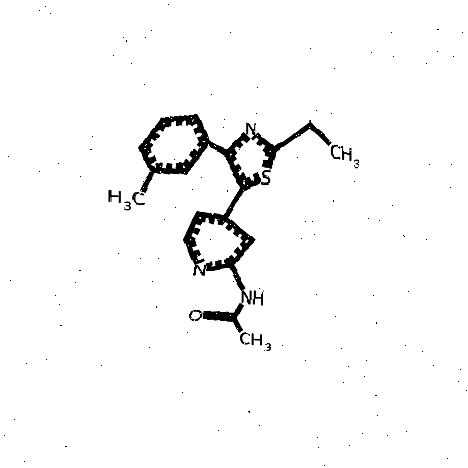 C[CH]c1nc(-c2cccc(C)c2)c(-c2ccnc(NC(C)=O)c2)s1